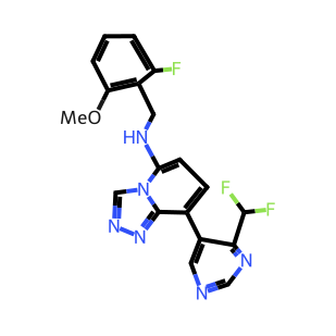 COc1cccc(F)c1CNc1ccc(-c2cncnc2C(F)F)c2nncn12